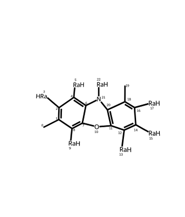 Cc1[c]([RaH])[c]([RaH])c2c([c]1[RaH])Oc1[c]([RaH])[c]([RaH])[c]([RaH])c(C)c1[N]2[RaH]